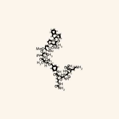 CC[C@H](C)[C@@H]([C@@H](CC(=O)N1CCC[C@H]1[C@H](OC)[C@@H](C)C(=O)N[C@@H](Cc1ccccc1)c1nccs1)OC)N(C)C(=O)[C@@H](NC(=O)C(C)(C)NC(=O)OCc1ccc(NC(=O)[C@H](CCCNC(N)=O)NC(=O)[C@@H](NC(=O)[C@@H](CCCCN)NS(C)(=O)=O)C(C)C)cc1)C(C)C